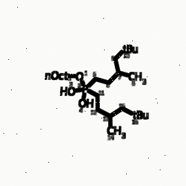 CCCCCCCCOP(O)(O)(CCC(C)CC(C)(C)C)CCC(C)CC(C)(C)C